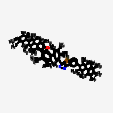 Bc1c(B)c(B)c(-c2c(B)c(B)c(-c3ccc4sc5c(-c6c(B)c(B)c(B)c(-c7c(B)c(B)c(B)c8c7oc7c(B)c(B)c(-c9c(B)c(B)c(-c%10c(B)c(B)c(B)c(B)c%10B)c(B)c9B)c(B)c78)c6B)ncnc5c4c3)c(B)c2B)c(B)c1B